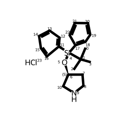 CC(C)(C)[Si](O[C@H]1CCNC1)(c1ccccc1)c1ccccc1.Cl